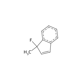 CC1(F)C=Cc2ccccc21